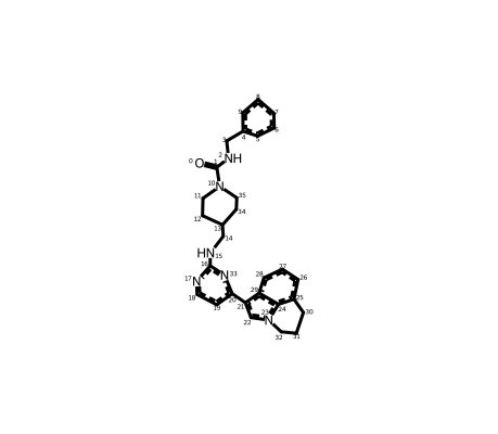 O=C(NCc1ccccc1)N1CCC(CNc2nccc(-c3cn4c5c(cccc35)CCC4)n2)CC1